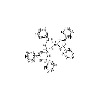 c1ncnc(C2CC(c3ncncn3)CC(C3CC(c4ncncn4)CC(C4CC(c5ncncn5)CC(c5ncncn5)C4)C3)C2)n1